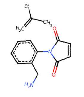 C=C(C)CC.NCc1ccccc1N1C(=O)C=CC1=O